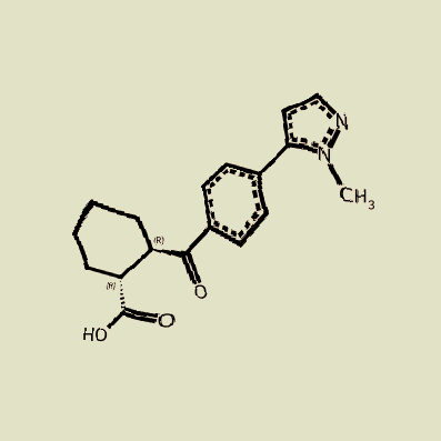 Cn1nccc1-c1ccc(C(=O)[C@@H]2CCCC[C@H]2C(=O)O)cc1